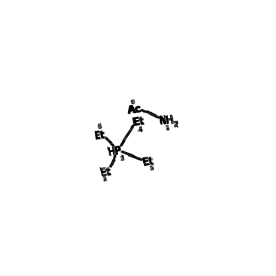 CC(N)=O.CC[PH](CC)(CC)CC